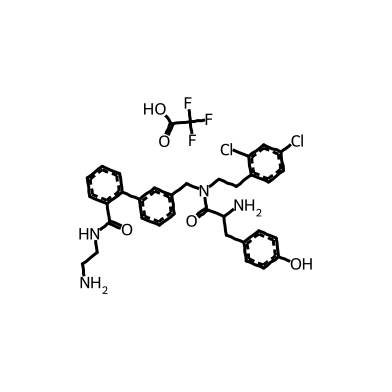 NCCNC(=O)c1ccccc1-c1cccc(CN(CCc2ccc(Cl)cc2Cl)C(=O)C(N)Cc2ccc(O)cc2)c1.O=C(O)C(F)(F)F